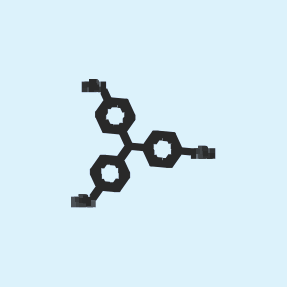 CCCCc1ccc(C(c2ccc(CCCC)cc2)c2ccc(CCCC)cc2)cc1